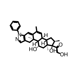 CC1=C[C@@H]2[C@H]([C@@H](O)C[C@@]3(C)[C@H]2C[C@@H](C)[C@]3(O)C(=O)CO)[C@@]2(C)Cc3cnn(-c4ccccc4)c3C=C12